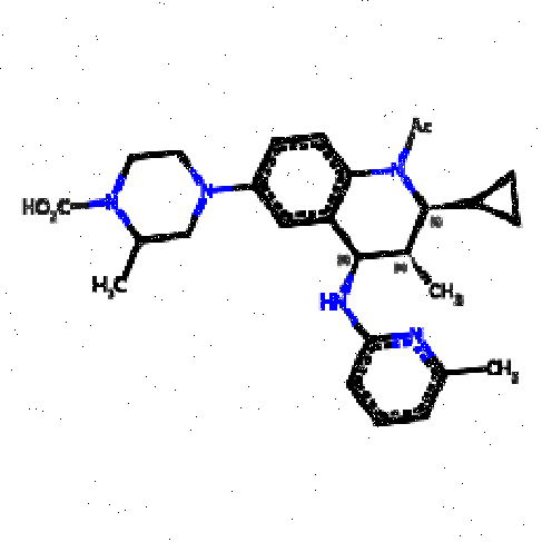 CC(=O)N1c2ccc(N3CCN(C(=O)O)C(C)C3)cc2[C@H](Nc2cccc(C)n2)[C@@H](C)[C@@H]1C1CC1